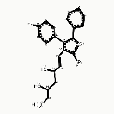 CC(C)c1sc(-c2ccccc2)c(-c2ccc(F)cc2)c1C=CC(O)CC(O)CC(=O)O